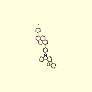 CCc1ccc(-c2ccc3ccc4c(-c5ccc(-n6c7ccccc7c7c8oc9ccccc9c8ccc76)cc5)ccc5ccc2c3c54)cc1